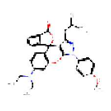 CCN(CC)c1ccc2c(c1)Oc1c(c(CC(C)C)nn1-c1ccc(OC)cc1)C21OC(=O)c2ccccc21